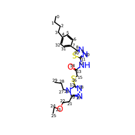 CCCCc1ccc(-c2nnc(NC(=O)CSc3nnc(CCOCC)n3CCC)s2)cc1